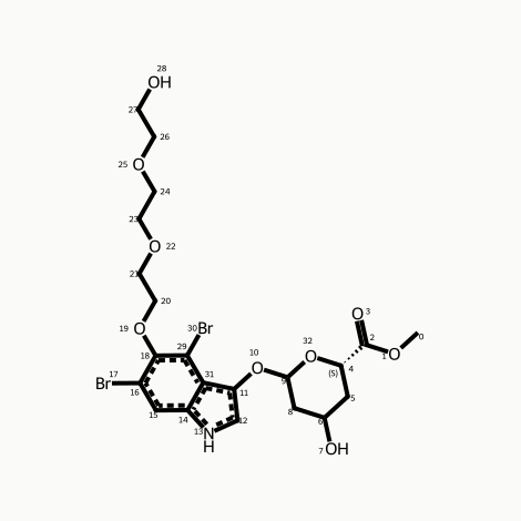 COC(=O)[C@@H]1CC(O)CC(Oc2c[nH]c3cc(Br)c(OCCOCCOCCO)c(Br)c23)O1